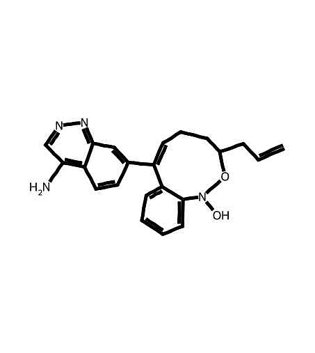 C=CCC1CCC=C(c2ccc3c(N)cnnc3c2)c2ccccc2N(O)O1